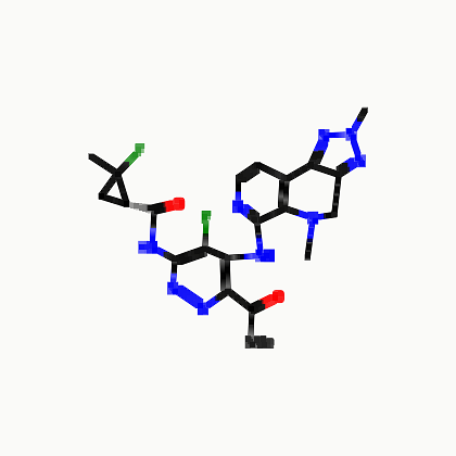 CNC(=O)c1nnc(NC(=O)[C@@H]2CC2(C)F)c(F)c1Nc1nccc2c1N(C)Cc1nn(C)nc1-2